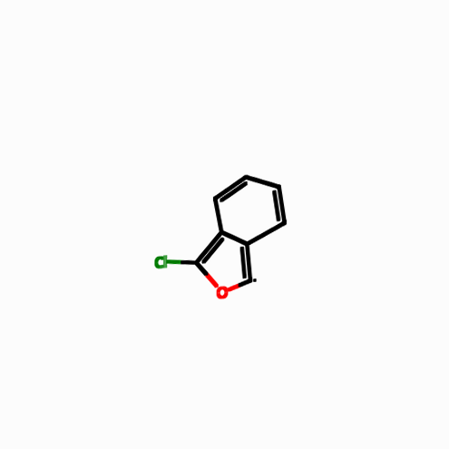 Clc1o[c]c2ccccc12